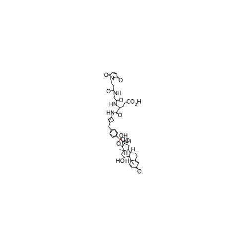 C[C@]12C=CC(=O)C=C1CC[C@@H]1[C@@H]2[C@@H](O)C[C@@]2(C)[C@H]1C[C@H]1O[C@H](c3ccc(CC45CC(NC(=O)[C@H](CCC(=O)O)NC(=O)CNC(=O)CCN6C(=O)C=CC6=O)(C4)C5)cc3)O[C@]12C(=O)CO